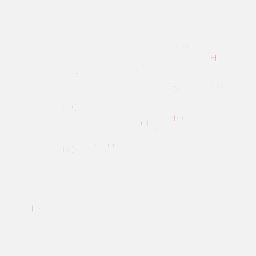 C=C1CC(OC(=O)C(O)Cc2ccc(O)cc2)C2C(=C)C(=O)OC2C2C(=C)C(OC3OC(CO)C(O)C(O)C3O)CC12